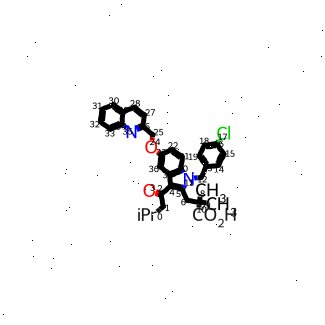 CC(C)CC(=O)c1c(CC(C)(C)C(=O)O)n(Cc2ccc(Cl)cc2)c2ccc(OCc3ccc4ccccc4n3)cc12